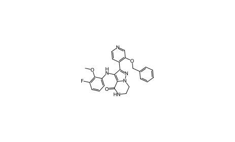 COc1c(F)cccc1Nc1c(-c2ccncc2OCc2ccccc2)nn2c1C(=O)NCC2